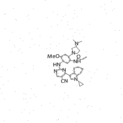 C=CC(=O)Nc1cc(Nc2ncc(C#N)c(-c3cn(C4CC4)c4ccccc34)n2)c(OC)cc1N1CC[C@H](N(C)C)C1